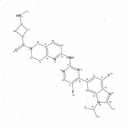 CNC1CC(C(=O)N2CCc3nc(Nc4ncc(F)c(-c5cc(F)c6nc(C)n(C(C)C)c6c5)n4)ccc3C2)C1